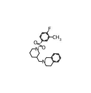 Cc1cc(S(=O)(=O)N2CCCC(CN3CCc4ccccc4C3)C2)ccc1F